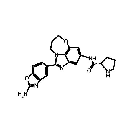 Nc1nc2cc(-c3nc4cc(NC(=O)[C@@H]5CCCN5)cc5c4n3CCCO5)ccc2o1